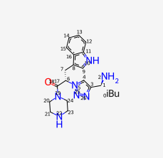 CC[C@H](C)[C@H](N)c1cn([C@@H](Cc2c[nH]c3ccccc23)C(=O)N2CCNCC2)nn1